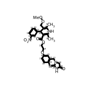 COOCC1=C(C)NC(C)=C(C(=O)OCCOc2ccc3c(c2)CN2CC(=O)NC2=N3)C1c1cccc([N+](=O)[O-])c1